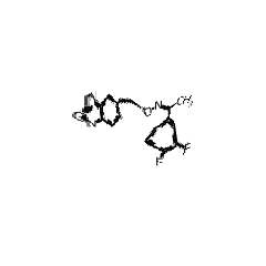 CC(=NOCc1ccc2nonc2c1)c1ccc(F)c(F)c1